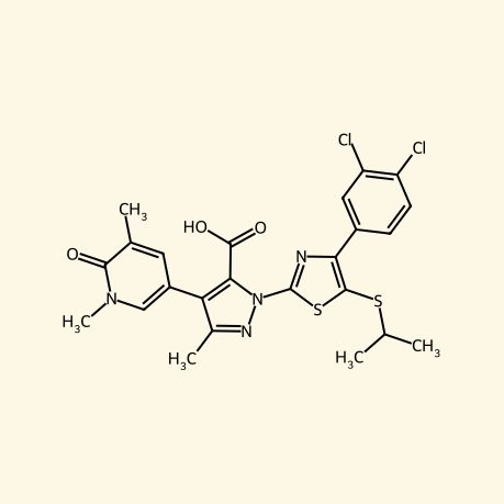 Cc1nn(-c2nc(-c3ccc(Cl)c(Cl)c3)c(SC(C)C)s2)c(C(=O)O)c1-c1cc(C)c(=O)n(C)c1